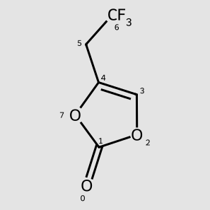 O=c1occ(CC(F)(F)F)o1